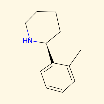 Cc1ccccc1[C@@H]1CCCCN1